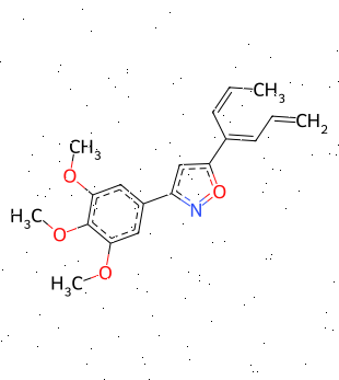 C=C/C=C(\C=C/C)c1cc(-c2cc(OC)c(OC)c(OC)c2)no1